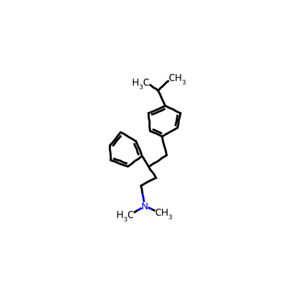 CC(C)c1ccc(CC(CCN(C)C)c2ccccc2)cc1